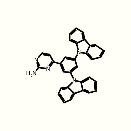 Nc1nccc(-c2cc(-n3c4ccccc4c4ccccc43)cc(-n3c4ccccc4c4ccccc43)c2)n1